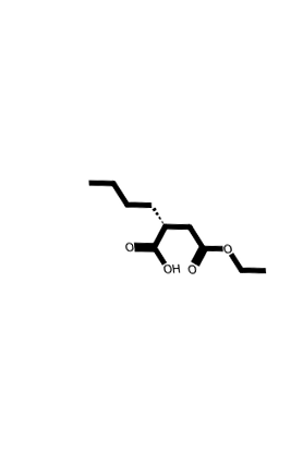 CCCC[C@H](CC(=O)OCC)C(=O)O